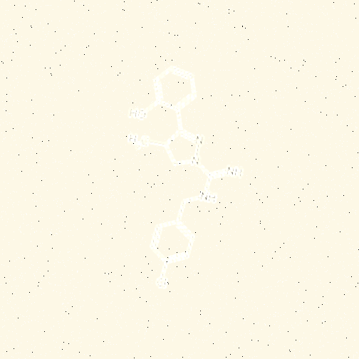 CC1CN(C(=N)NCc2ccc(Cl)cc2)N=C1c1ccccc1O